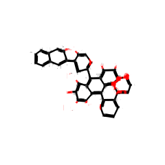 Oc1c(O)c(O)c2c(-c3ccccc3-c3ccccc3)c3c(O)c(O)c(O)c(O)c3c(-c3ccc4oc5cc6ccccc6cc5c4c3)c2c1O